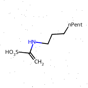 C=C(NCCCCCCCC)S(=O)(=O)O